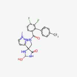 Cn1ccc(C2(CNC(=O)c3ccc(F)c(F)c3-c3ccc(C(F)(F)F)cc3)NC(O)NC2=O)n1